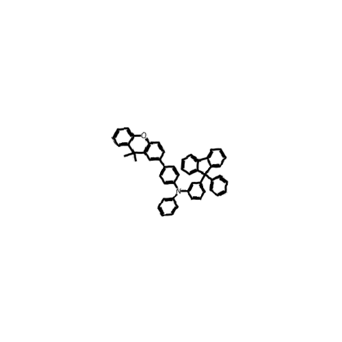 CC1(C)c2ccccc2Oc2ccc(-c3ccc(N(c4ccccc4)c4cccc(C5(c6ccccc6)c6ccccc6-c6ccccc65)c4)cc3)cc21